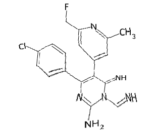 Cc1cc(-c2c(-c3ccc(Cl)cc3)nc(N)n(C=N)c2=N)cc(CF)n1